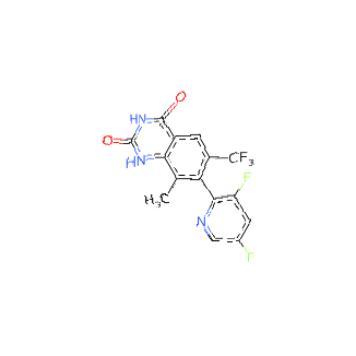 Cc1c(-c2ncc(F)cc2F)c(C(F)(F)F)cc2c(=O)[nH]c(=O)[nH]c12